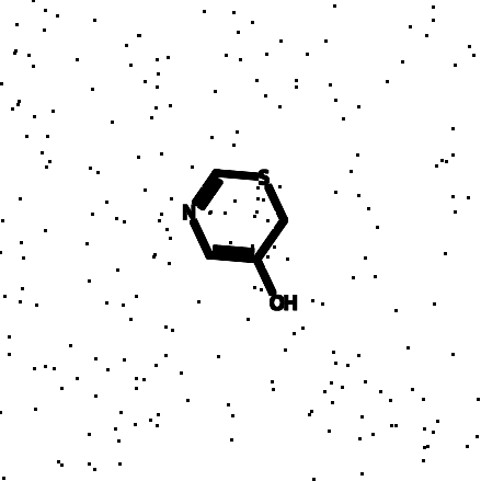 OC1=CN=CSC1